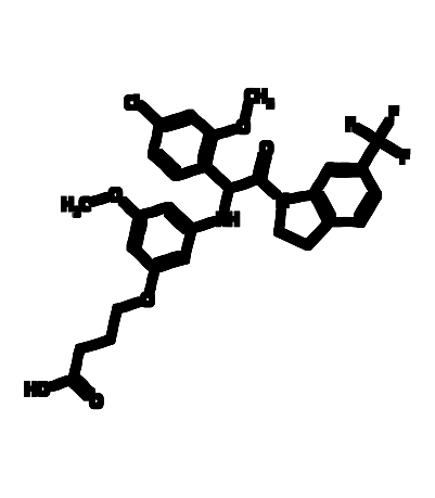 COc1cc(NC(C(=O)N2CCc3ccc(C(F)(F)F)cc32)c2ccc(Cl)cc2OC)cc(OCCCC(=O)O)c1